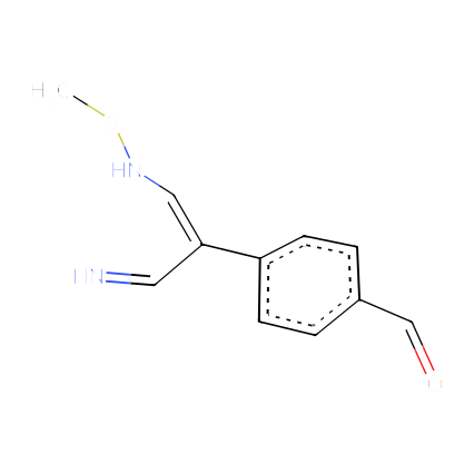 CSN/C=C(\C=N)c1ccc(C=O)cc1